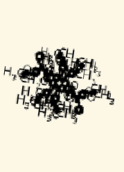 C=C(C)C(=O)Oc1ccc(N(CCC2CCCCC2)C(=O)CN2C(=O)c3cc(Oc4ccc(C(C)(C)CC(C)(C)C)cc4)c4c5c(Oc6ccc(C(C)(C)CC(C)(C)C)cc6)cc6c7c(cc(Oc8ccc(C(C)(C)CC(C)(C)C)cc8)c(c8c(Oc9ccc(C(C)(C)CC(C)(C)C)cc9)cc(c3c48)C2=O)c75)C(=O)N(CC(=O)N(CCC2CCCCC2)c2ccc(OC(=O)C(=C)C)cc2)C6=O)cc1